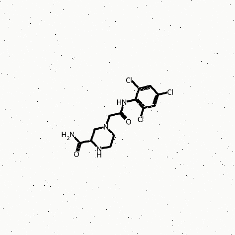 NC(=O)C1CN(CC(=O)Nc2c(Cl)cc(Cl)cc2Cl)CCN1